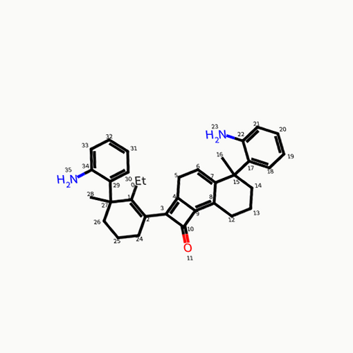 CCC1=C(C2=C3CC=C4C(=C3C2=O)CCCC4(C)c2ccccc2N)CCCC1(C)c1ccccc1N